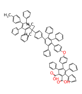 CCC(C)(c1ccc(-c2cc(-c3ccccc3)c(-c3ccc(Oc4ccc(-c5c(-c6ccccc6)c(C(=O)O)c(C(=O)O)c(-c6ccccc6)c5-c5ccccc5)cc4)cc3)c(-c3ccccc3)c2-c2ccccc2)cc1)c1cc(-c2ccccc2)c(-c2ccc(C)cc2)c(-c2ccccc2)c1-c1ccccc1